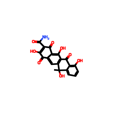 CC1(O)c2cccc(O)c2C(=O)c2c1cc1c(c2O)C(=O)C(C(N)=O)=C(O)C1=O